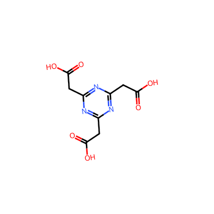 O=C(O)Cc1nc(CC(=O)O)nc(CC(=O)O)n1